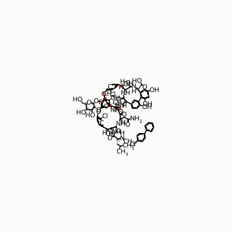 CN[C@H](CC(C)C)C(=O)N[C@H]1C(=O)N[C@@H](CC(N)=O)C(=O)N[C@H]2C(=O)N[C@H]3C(=O)N[C@H](C(=O)N[C@@H](C(=O)O)c4cc(O)cc(O)c4-c4cc3ccc4O)[C@H](O)c3ccc(c(Cl)c3)Oc3cc2cc(c3O[C@@H]2O[C@H](CO)[C@@H](O)[C@H](O)[C@H]2O[C@H]2C[C@](C)(N)C(O)[C@H](C)O2)Oc2ccc(cc2Cl)[C@H]1O.Clc1ccc(-c2ccccc2)cc1